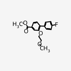 COCCOc1cc(C(=O)OC)ccc1-c1ccc(F)cc1